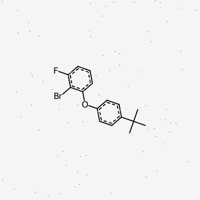 CC(C)(C)c1ccc(Oc2cccc(F)c2Br)cc1